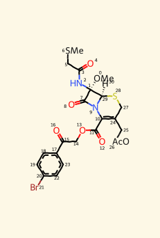 CO[C@@]1(NC(=O)CSC)C(=O)N2C(C(=O)OCC(=O)c3ccc(Br)cc3)=C(COC(C)=O)CS[C@@H]21